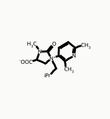 Cc1ccc([N+]2(CC(C)C)CC(C(=O)[O-])N(C)C2=O)c(C)n1